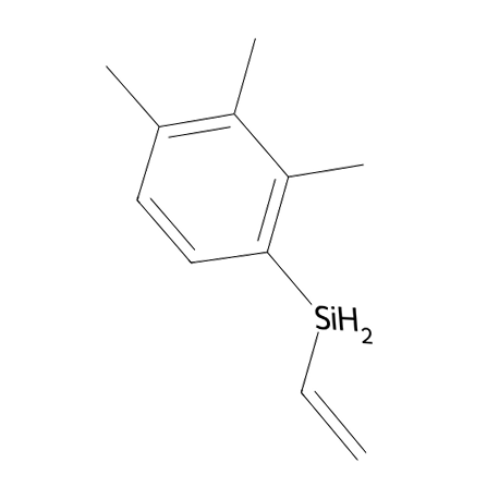 C=C[SiH2]c1ccc(C)c(C)c1C